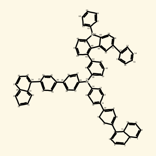 C1=CC2C=CC=C(C3=CC=C(c4ccc(N(c5ccc(-c6ccc(-c7cccc8ccccc78)cc6)cc5)c5cccc(-c6cccc7c6c6cc(-c8ccccc8)ccc6n7-c6ccccc6)c5)cc4)CC3)C2C=C1